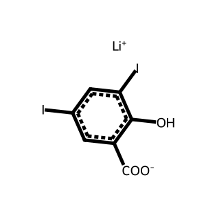 O=C([O-])c1cc(I)cc(I)c1O.[Li+]